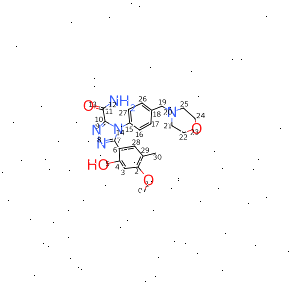 COc1cc(O)c(-c2nnc(C(N)=O)n2-c2ccc(CN3CCOCC3)cc2)cc1C